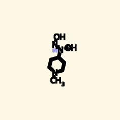 CN1CCC(/[N+](O)=N/O)CC1